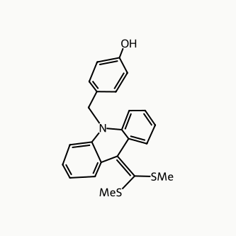 CSC(SC)=C1c2ccccc2N(Cc2ccc(O)cc2)c2ccccc21